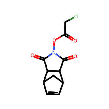 O=C(CCl)ON1C(=O)C2C3C=CC(C3)C2C1=O